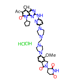 COc1c(N2CCN(CCN3CCN(c4ccc(Nc5ncc6c(C)c(C(C)=O)c(=O)n(C7CCCC7)c6n5)nc4)CC3)CC2)ccc2c1CN(C1CCC(=O)NC1=O)C2=O.Cl.Cl